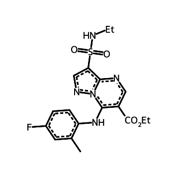 CCNS(=O)(=O)c1cnn2c(Nc3ccc(F)cc3C)c(C(=O)OCC)cnc12